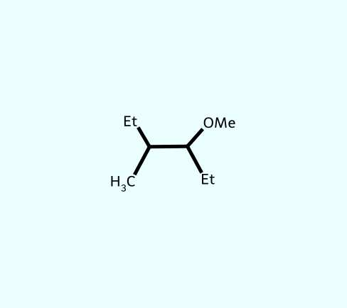 CCC(C)C(CC)OC